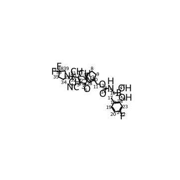 CC(C(C#N)C(=O)N1C2CCC1(COC(=O)N[C@@H](Cc1ccc(F)cc1)B(O)O)CC2)C(C)(C)N1CCC(F)(F)C1